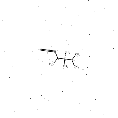 CC(C)C(C)(C)C(C)N=[N+]=[N-]